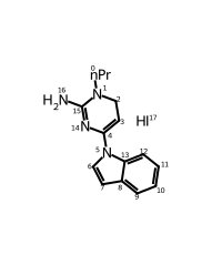 CCCN1CC=C(n2ccc3ccccc32)N=C1N.I